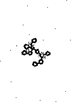 c1ccc(-c2cccc(-c3nc(-c4ccccc4)nc(-c4ccc(-c5sc6c(-c7ccccc7)nc7ccccc7c6c5-c5cccc6c5oc5ccccc56)cc4)n3)c2)cc1